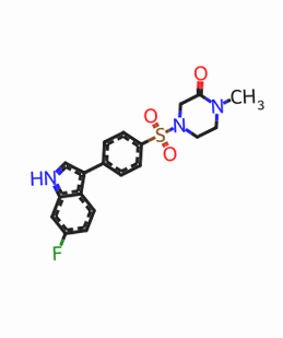 CN1CCN(S(=O)(=O)c2ccc(-c3c[nH]c4cc(F)ccc34)cc2)CC1=O